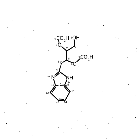 O=C(O)OC(CO)C(OC(=O)O)Sc1nc2ccccc2[nH]1